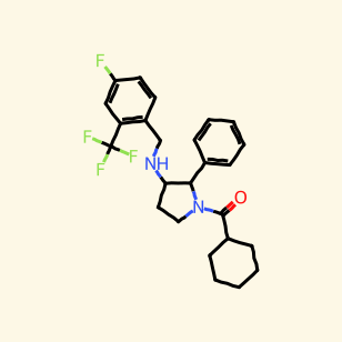 O=C(C1CCCCC1)N1CCC(NCc2ccc(F)cc2C(F)(F)F)C1c1ccccc1